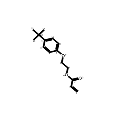 C=CC(=O)OCCOc1ccc(C(C)(C)C)cc1